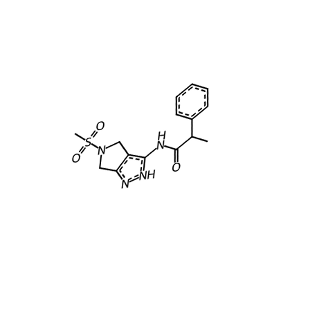 CC(C(=O)Nc1[nH]nc2c1CN(S(C)(=O)=O)C2)c1ccccc1